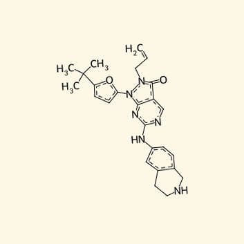 C=CCn1c(=O)c2cnc(Nc3ccc4c(c3)CCNC4)nc2n1-c1ccc(C(C)(C)C)o1